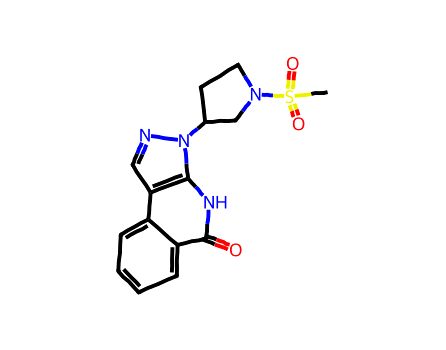 CS(=O)(=O)N1CCC(n2ncc3c4ccccc4c(=O)[nH]c32)C1